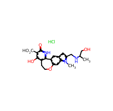 CC(CO)NCc1cc2cc3c(cc2n1C)OCCc1c-3[nH]c(=O)c(C(=O)O)c1O.Cl